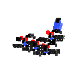 C=COC(=O)C[N+](CC(=O)O)(CC(=O)O)CC(=O)O.C=COC(=O)C[N+](CC(=O)[O-])(CC(=O)[O-])CC(=O)O.C=COC(=O)C[N+](CC(=O)[O-])(CC(=O)[O-])CC(=O)[O-].C=COC(=O)C[N+](CC(=O)[O-])(CC(=O)[O-])CC(=O)[O-].N.N.N.N.[K+].[K+].[K+].[K+]